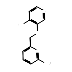 COc1cccc(COc2cnccc2C#N)n1